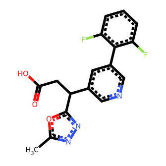 Cc1nnc(C(CC(=O)O)c2cncc(-c3c(F)cccc3F)c2)o1